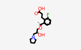 C[C@@H](OC[C@H](O)CN1CCCC1)c1cccc(F)c1CCC(=O)O